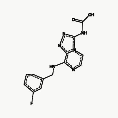 O=C(O)Nc1nnc2c(NCc3cccc(F)c3)nccn12